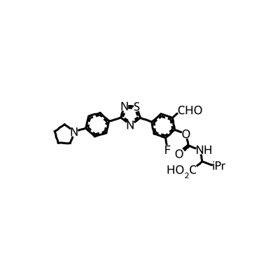 CC(C)C(NC(=O)Oc1c(F)cc(-c2nc(-c3ccc(N4CCCC4)cc3)ns2)cc1C=O)C(=O)O